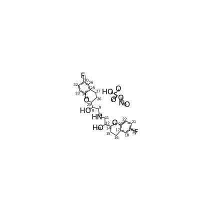 O=NOS(=O)(=O)O.OC(CNCC(O)C1CCc2cc(F)ccc2O1)C1CCc2cc(F)ccc2O1